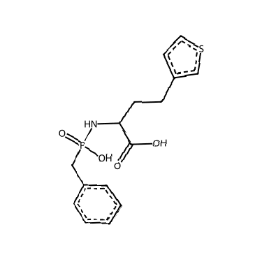 O=C(O)C(CCc1ccsc1)NP(=O)(O)Cc1ccccc1